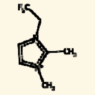 Cc1n(CC(F)(F)F)cc[n+]1C